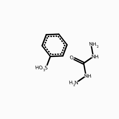 NNC(=O)NN.O=S(=O)(O)c1ccccc1